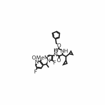 COc1ncc(F)cc1C(C)n1ncc(NC(=O)C(NC(=O)OCc2ccccc2)C(C2CC2)C2CC2)c1F